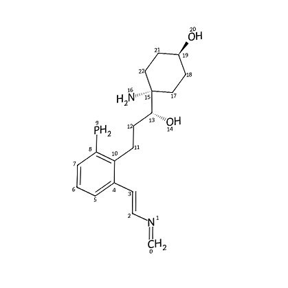 C=N/C=C/c1cccc(P)c1CC[C@@H](O)[C@]1(N)CC[C@H](O)CC1